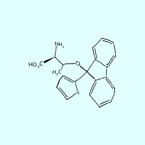 CC(OC1(c2cccs2)c2ccccc2-c2ccccc21)[C@H](N)C(=O)O